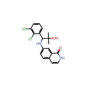 CC(C)(O)C(Nc1ccc2cc[nH]c(=O)c2c1)c1cccc(Cl)c1Cl